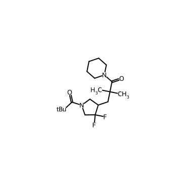 CC(C)(C)C(=O)N1CC(CC(C)(C)C(=O)N2CCCCC2)C(F)(F)C1